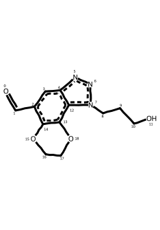 O=Cc1cc2nnn(CCCO)c2c2c1OCCO2